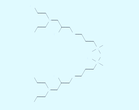 C[Si](C)(CCCOCC(O)CN(CCO)CCO)O[Si](C)(C)CCCOCC(O)CN(CCO)CCO